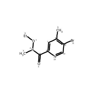 CCON(C)C(=O)c1cc(C)c(Br)cn1